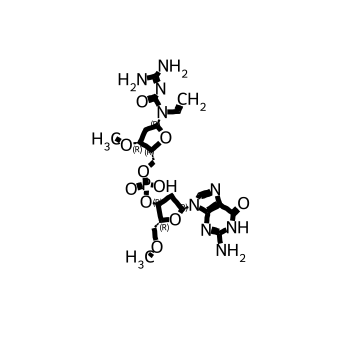 C=CN(C(=O)N=C(N)N)[C@H]1C[C@@H](OC)[C@@H](COP(=O)(O)O[C@@H]2C[C@H](n3cnc4c(=O)[nH]c(N)nc43)O[C@@H]2COC)O1